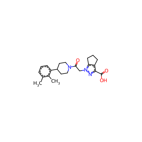 Cc1cccc(C2CCN(C(=O)Cn3nc(C(=O)O)c4c3CCC4)CC2)c1C